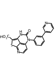 O=C(O)c1sc2nccc3c2c1NC(=O)N3c1cccc(-c2cccnc2)c1